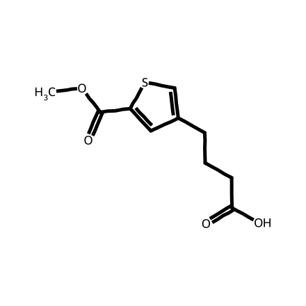 COC(=O)c1cc(CCCC(=O)O)cs1